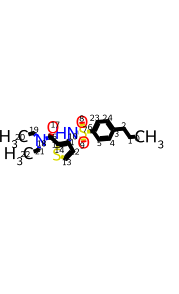 CCCc1ccc(S(=O)(=O)Nc2ccsc2C(=O)N(CC)CC)cc1